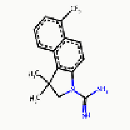 CC1(C)CN(C(=N)N)c2ccc3c(C(F)(F)F)cccc3c21